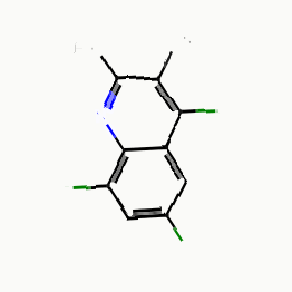 Cc1nc2c(F)cc(F)cc2c(Cl)c1C#N